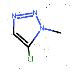 Cn1nn[c]c1Cl